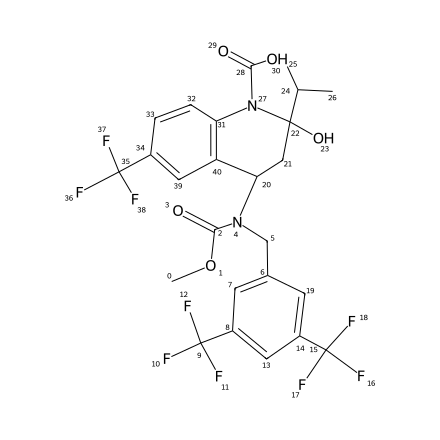 COC(=O)N(Cc1cc(C(F)(F)F)cc(C(F)(F)F)c1)C1CC(O)(C(C)C)N(C(=O)O)c2ccc(C(F)(F)F)cc21